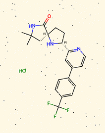 CC1(C)C[C@@]2(CC[C@H](c3cc(-c4ccc(C(F)(F)F)cc4)ccn3)N2)C(=O)N1.Cl